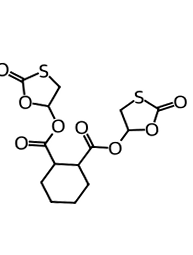 O=C1OC(OC(=O)C2CCCCC2C(=O)OC2CSC(=O)O2)CS1